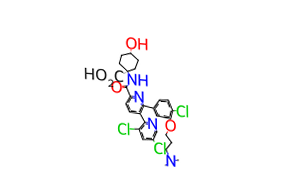 CN(C)CCCOc1cc(-c2nc(C(=O)N[C@]3(C(=O)O)CC[C@@H](O)CC3)ccc2-c2ncc(Cl)cc2Cl)ccc1Cl